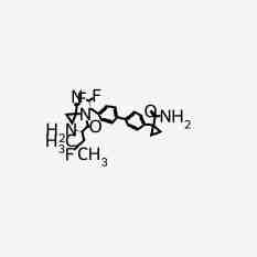 CC(C)(F)C[C@H](N)C(=O)N([C@@H](c1ccc(-c2ccc(C3(C(N)=O)CC3)cc2)cc1)C(F)F)C1(C#N)CC1